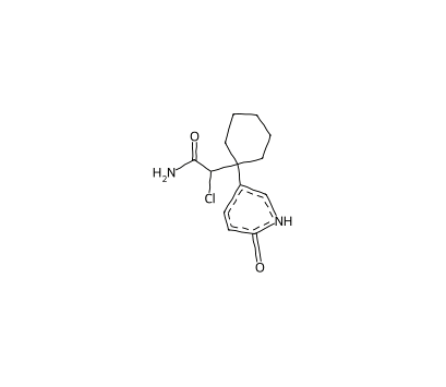 NC(=O)C(Cl)C1(c2ccc(=O)[nH]c2)CCCCC1